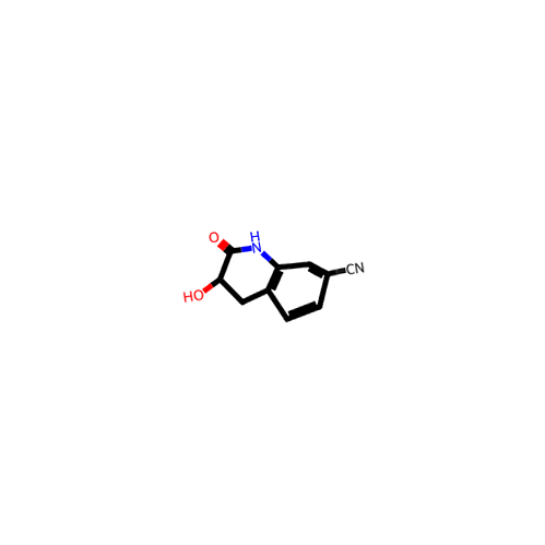 N#Cc1ccc2c(c1)NC(=O)C(O)C2